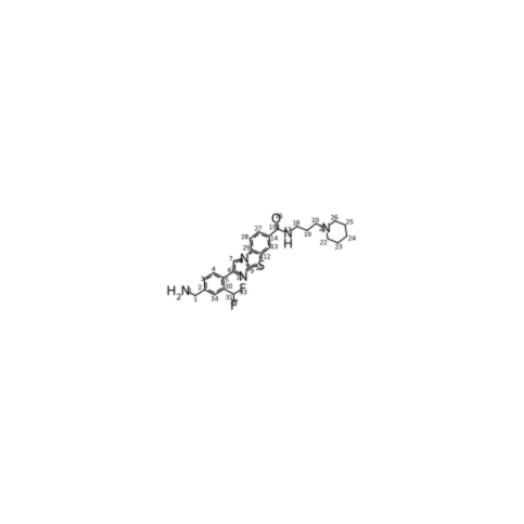 NCc1ccc(-c2cn3c(n2)sc2cc(C(=O)NCCCN4CCCCC4)ccc23)c(C(F)F)c1